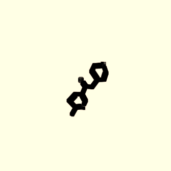 Cc1ccc(C(=O)Cc2ccncc2)cn1